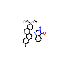 CCCC1(CCC)C=CC2=C(CCc3c2ccc2cc(C)ccc32)C1.O=c1[nH]cnc2ccccc12